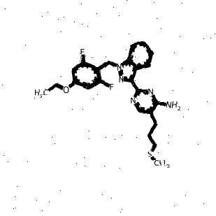 CCOc1cc(F)c(Cn2nc(-c3ncc(CCCSC)c(N)n3)c3ccccc32)c(F)c1